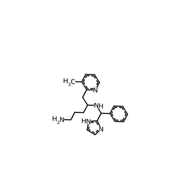 Cc1cccnc1CC(CCCN)NC(c1ccccc1)c1ncc[nH]1